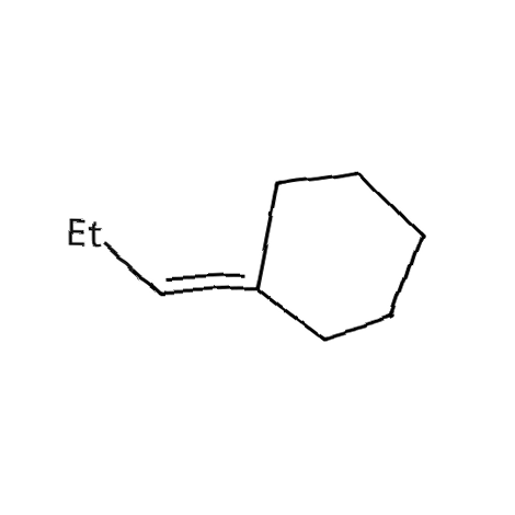 [CH2]CC=C1CCCCC1